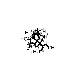 CCC(CO)C(CO)(CO)C(C=C(C)C(=O)O)(C=C(C)C(=O)O)C=C(C)C(=O)O